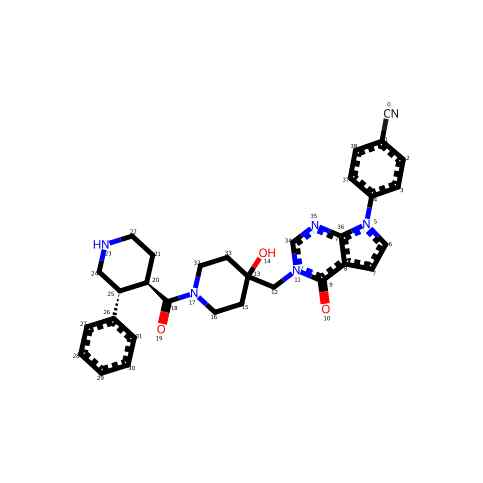 N#Cc1ccc(-n2ccc3c(=O)n(CC4(O)CCN(C(=O)[C@@H]5CCNC[C@H]5c5ccccc5)CC4)cnc32)cc1